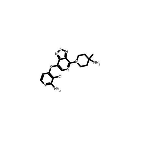 CC1(N)CCN(c2ncc(Sc3ccnc(N)c3Cl)c3nsnc23)CC1